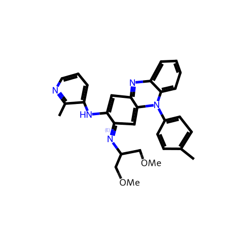 COCC(COC)/N=c1\cc2n(-c3ccc(C)cc3)c3ccccc3nc-2cc1Nc1cccnc1C